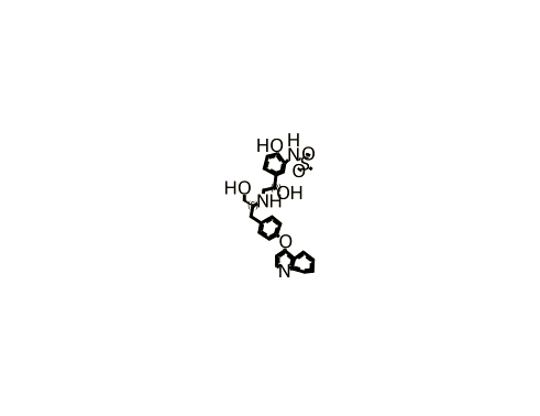 CS(=O)(=O)Nc1cc([C@@H](O)CN[C@H](CO)Cc2ccc(Oc3ccnc4ccccc34)cc2)ccc1O